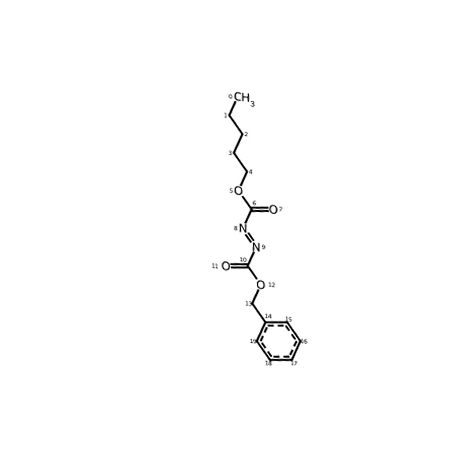 CCCCCOC(=O)N=NC(=O)OCc1ccccc1